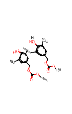 CCCCOC(=O)OCc1cc(C(C)(C)C)c(O)c(C(C)(C)C)c1.CCCCOC(=O)OCc1cc(C(C)(C)C)c(O)c(C(C)(C)C)c1.[Ni]